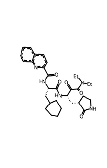 CCN(CC)C(=O)C(=O)[C@H](C[C@@H]1CCNC1=O)NC(=O)[C@H](CC1CCCCC1)NC(=O)c1ccc2ccccc2n1